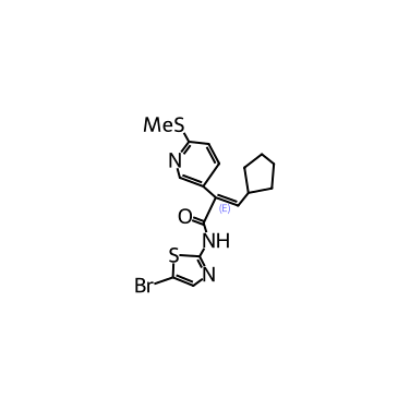 CSc1ccc(/C(=C\C2CCCC2)C(=O)Nc2ncc(Br)s2)cn1